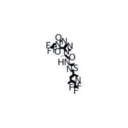 Cc1cc(-c2nc(NC(=O)[C@H](C)n3cnc4c3c(=O)n(CC(F)(F)F)c(=O)n4C)cs2)cnc1C(F)(F)F